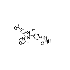 CCNC(=O)Nc1ccc(-c2nc3c(c(N4CCOCC4C)n2)CN(C(C)=O)C3)c(F)c1